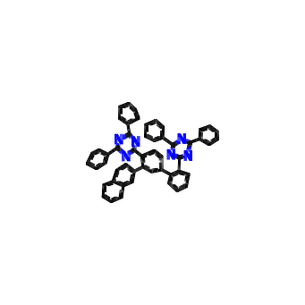 c1ccc(-c2nc(-c3ccccc3)nc(-c3ccccc3-c3ccc(-c4nc(-c5ccccc5)nc(-c5ccccc5)n4)c(-c4ccc5ccccc5c4)c3)n2)cc1